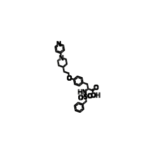 O=C(O)C(Cc1ccc(OCCC2CCN(c3ccncc3)CC2)cc1)NS(=O)(=O)Cc1ccccc1